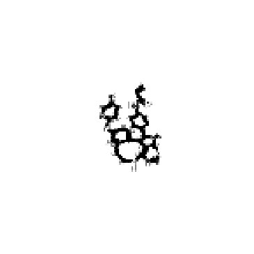 C=CC(=O)Nc1ccc(-c2c3c4c(ncnc4n2C)NCCc2cc(Oc4ccc(C)cn4)ccc2-3)cc1